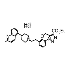 CCOC(=O)c1nnn2c1COc1c(CCN3CCC(c4cccc5nc(C)ccc45)CC3)cccc1-2.Cl.Cl